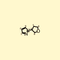 c1cnn(C2CCOC2)c1